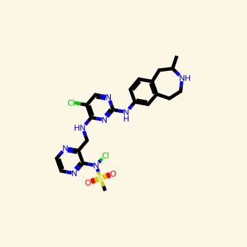 CC1Cc2ccc(Nc3ncc(Cl)c(NCc4nccnc4N(Cl)S(C)(=O)=O)n3)cc2CCN1